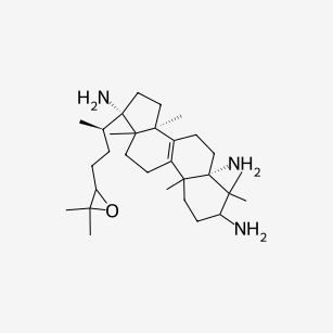 C[C@H](CCC1OC1(C)C)[C@@]1(N)CC[C@@]2(C)C3=C(CCC21C)C1(C)CCC(N)C(C)(C)[C@]1(N)CC3